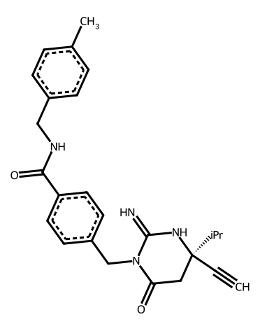 C#C[C@@]1(C(C)C)CC(=O)N(Cc2ccc(C(=O)NCc3ccc(C)cc3)cc2)C(=N)N1